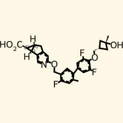 Cc1cc(F)c(COc2cc3c(cn2)[C@H]2[C@@H](C3)[C@@H]2C(=O)O)cc1-c1cc(F)c(OC[C@H]2C[C@@](C)(O)C2)c(F)c1